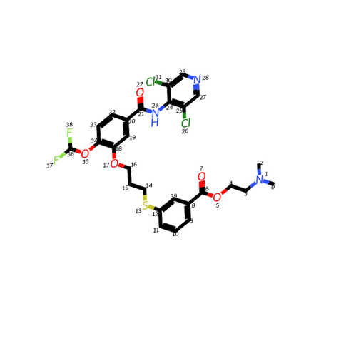 CN(C)CCOC(=O)c1cccc(SCCCOc2cc(C(=O)Nc3c(Cl)cncc3Cl)ccc2OC(F)F)c1